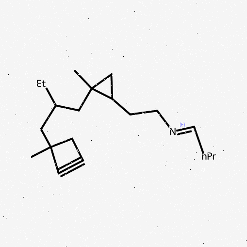 CCC/C=N/CCC1CC1(C)CC(CC)CC1(C)C#CC1